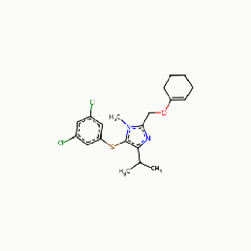 CC(C)c1nc(COC2=CCCCC2)n(C)c1Sc1cc(Cl)cc(Cl)c1